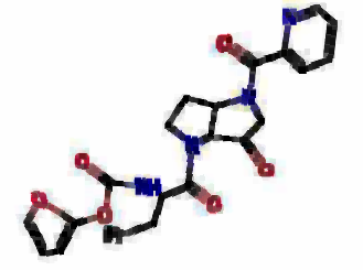 CC(C)CC(NC(=O)Oc1ccco1)C(=O)N1CCC2C1C(=O)CN2C(=O)c1ccccn1